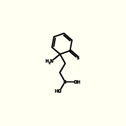 NC1(CCB(O)O)C=CC=CC1=S